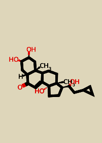 C[C@]12C[C@H](O)[C@H](O)C[C@H]1C(=O)C=C1C2CC[C@]2(C)[C@@H](C(O)CC3CC3)CC[C@@]12O